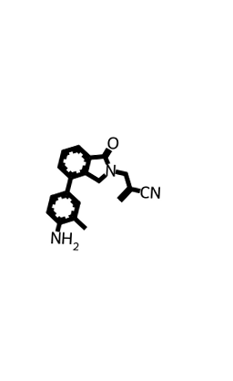 C=C(C#N)CN1Cc2c(cccc2-c2ccc(N)c(C)c2)C1=O